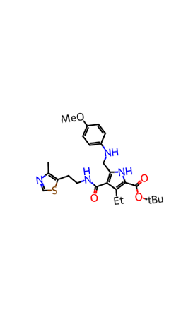 CCc1c(C(=O)OC(C)(C)C)[nH]c(CNc2ccc(OC)cc2)c1C(=O)NCCc1scnc1C